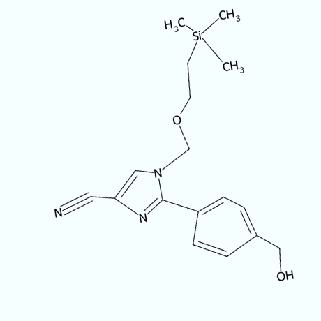 C[Si](C)(C)CCOCn1cc(C#N)nc1-c1ccc(CO)cc1